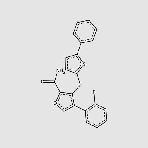 NC(=O)c1occ(-c2ccccc2F)c1Cc1ccc(-c2ccccc2)s1